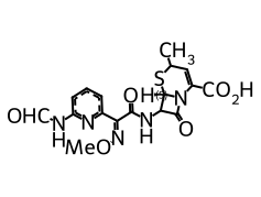 CON=C(C(=O)NC1C(=O)N2C(C(=O)O)=CC(C)S[C@@H]12)c1cccc(NC=O)n1